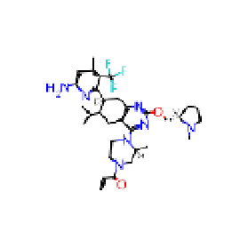 C=CC(=O)N1CCN(c2nc(OC[C@@H]3CCCN3C)nc3c2CC(C(C)C)[C@@H](c2nc(N)cc(C)c2C(F)(F)F)C3)[C@@H](C)C1